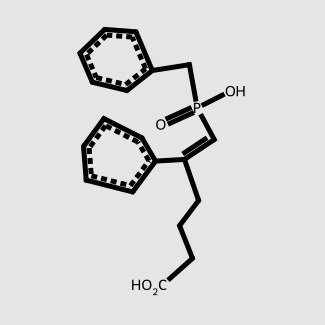 O=C(O)CCCC(=CP(=O)(O)Cc1ccccc1)c1ccccc1